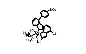 CCC1=Cc2c(CC)cccc2[CH]1[Zr]([Cl])([Cl])([CH]1C=Cc2c(-c3ccc(C(C)(C)C)cc3)cccc21)[SiH](C)C